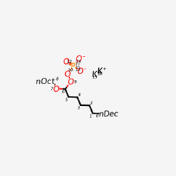 CCCCCCCCCCCCCCCC(OCCCCCCCC)OOP(=O)([O-])[O-].[K+].[K+]